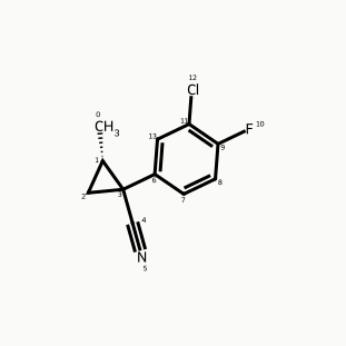 C[C@H]1CC1(C#N)c1ccc(F)c(Cl)c1